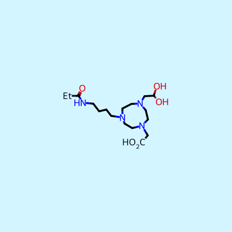 CCC(=O)NCCCCN1CCN(CC(=O)O)CCN(CC(O)O)CC1